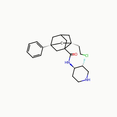 O=C(N[C@@H]1CCNC[C@H]1F)C12CC3C[C@](c4ccccc4)(C1)C[C@@]2(CCCl)C3